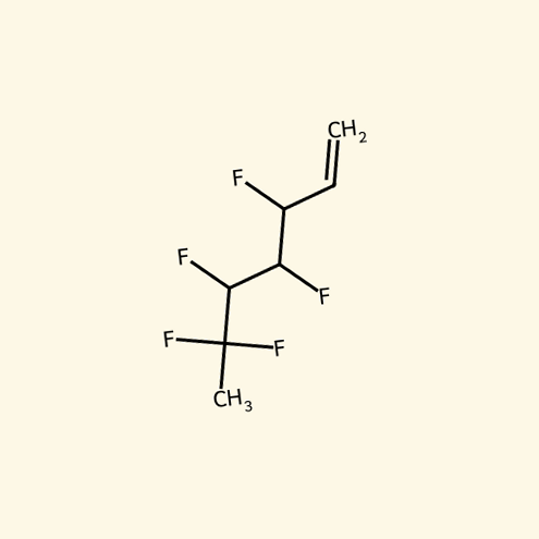 C=CC(F)C(F)C(F)C(C)(F)F